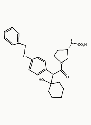 O=C(O)N[C@H]1CCN(C(=O)C(c2ccc(OCc3ccccc3)cc2)C2(O)CCCCC2)C1